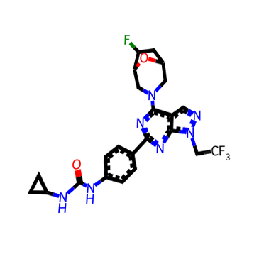 O=C(Nc1ccc(-c2nc(N3CC4CC(F)C(C3)O4)c3cnn(CC(F)(F)F)c3n2)cc1)NC1CC1